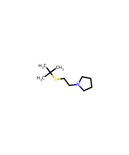 CC(C)(C)SCCN1CCCC1